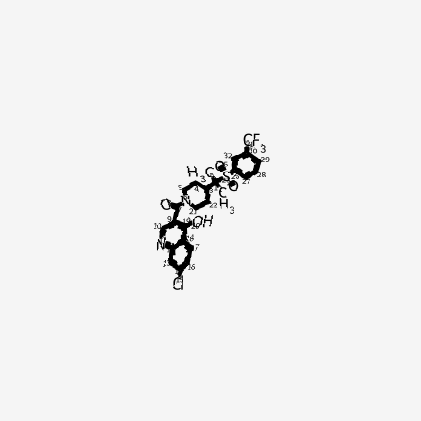 CC(C)(C1CCN(C(=O)c2cnc3cc(Cl)ccc3c2O)CC1)S(=O)(=O)c1cccc(C(F)(F)F)c1